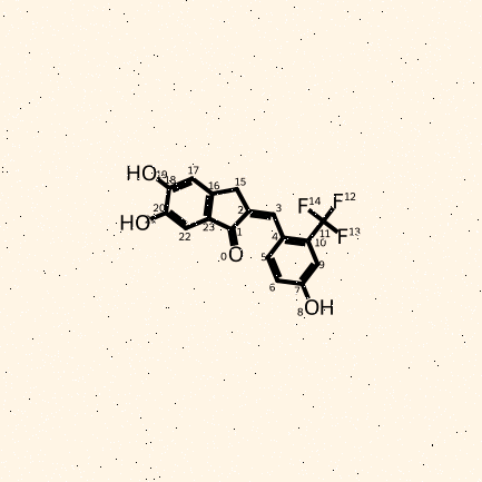 O=C1C(=Cc2ccc(O)cc2C(F)(F)F)Cc2cc(O)c(O)cc21